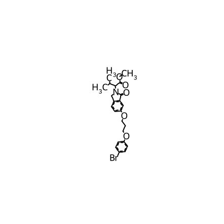 COC(=O)C(C(C)C)N1Cc2ccc(OCCCOc3ccc(Br)cc3)cc2C1=O